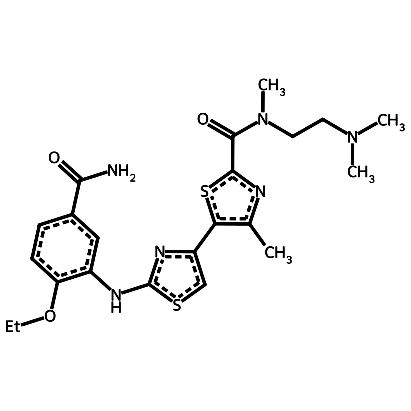 CCOc1ccc(C(N)=O)cc1Nc1nc(-c2sc(C(=O)N(C)CCN(C)C)nc2C)cs1